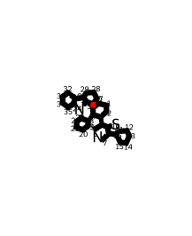 c1ccc(-c2cncc3c2sc2ccccc23)c(-c2ccccc2-n2c3ccccc3c3ccccc32)c1